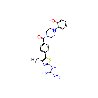 Cc1nc(NC(=N)N)sc1-c1ccc(C(=O)N2CCN(c3ccccc3O)CC2)cc1